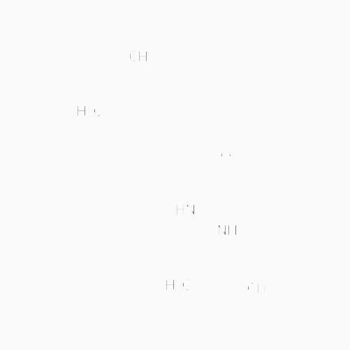 CC(C)C=CC(=O)NNC(C)C